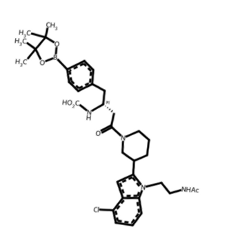 CC(=O)NCCn1c(C2CCCN(C(=O)C[C@@H](Cc3ccc(B4OC(C)(C)C(C)(C)O4)cc3)NC(=O)O)C2)cc2c(Cl)cccc21